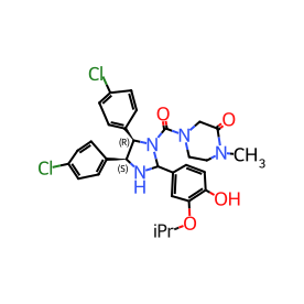 CC(C)Oc1cc(C2N[C@@H](c3ccc(Cl)cc3)[C@@H](c3ccc(Cl)cc3)N2C(=O)N2CCN(C)C(=O)C2)ccc1O